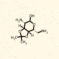 CC1(C)O[C@@H]2[C@H](O1)[C@H](N)C(O)O[C@@H]2CN